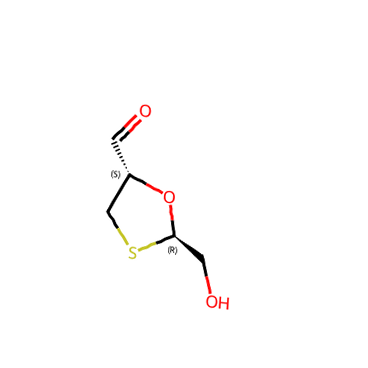 O=C[C@H]1CS[C@H](CO)O1